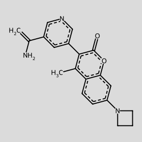 C=C(N)c1cncc(-c2c(C)c3ccc(N4CCC4)cc3oc2=O)c1